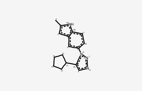 Cc1cc2cc(-n3nncc3C3CCCC3)ccc2[nH]1